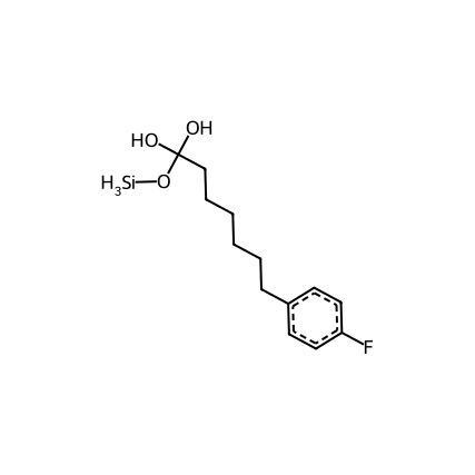 OC(O)(CCCCCCc1ccc(F)cc1)O[SiH3]